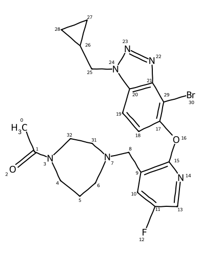 CC(=O)N1CCCN(Cc2cc(F)cnc2Oc2ccc3c(nnn3CC3CC3)c2Br)CC1